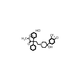 CN(C)C(=O)C(CCN1CCC(O)(c2ccc(Cl)c(C(F)(F)F)c2)CC1)(c1ccccc1)c1ccccc1.Cl